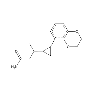 CC(CC(N)=O)C1CC1c1cccc2c1OCCO2